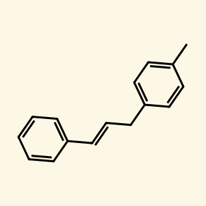 Cc1ccc(CC=Cc2ccccc2)cc1